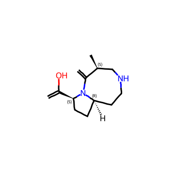 C=C(O)[C@@H]1CC[C@@H]2CCNC[C@H](C)C(=C)N21